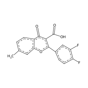 Cc1ccc2c(=O)c(C(=O)O)c(-c3ccc(F)c(F)c3)oc2c1